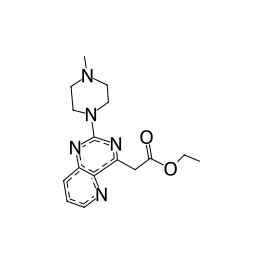 CCOC(=O)Cc1nc(N2CCN(C)CC2)nc2cccnc12